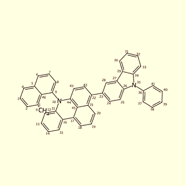 Cc1cccc2cccc(N3c4ccccc4-c4cccc5c(-c6ccc7c(c6)c6ccccc6n7-c6ccccc6)ccc3c45)c12